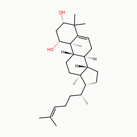 CC(C)=CCC[C@@H](C)[C@H]1CC[C@H]2[C@@H]3CC=C4C(C)(C)[C@@H](O)C[C@@H](O)[C@]4(C)[C@H]3CC[C@]12C